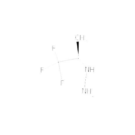 C[C@@H](NN)C(F)(F)F